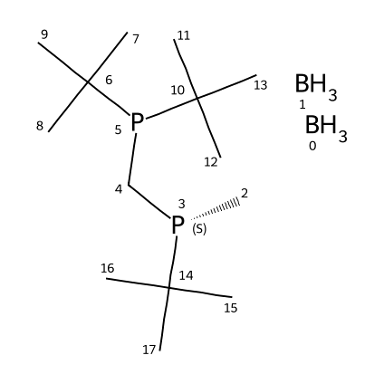 B.B.C[P@@](CP(C(C)(C)C)C(C)(C)C)C(C)(C)C